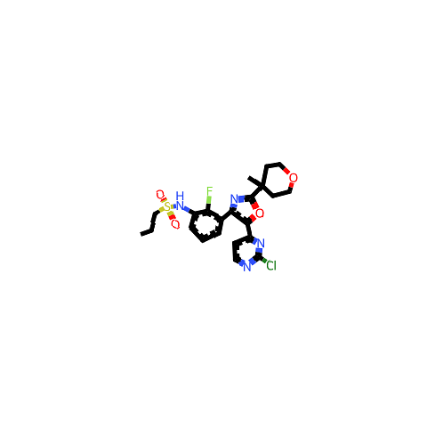 CCCS(=O)(=O)Nc1cccc(-c2nc(C3(C)CCOCC3)oc2-c2ccnc(Cl)n2)c1F